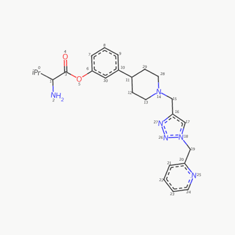 CC(C)C(N)C(=O)Oc1cccc(C2CCN(Cc3cn(Cc4ccccn4)nn3)CC2)c1